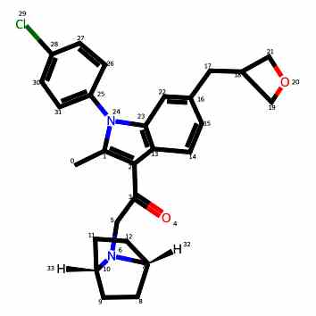 Cc1c(C(=O)CN2[C@H]3CC[C@@H]2CC3)c2ccc(CC3COC3)cc2n1-c1ccc(Cl)cc1